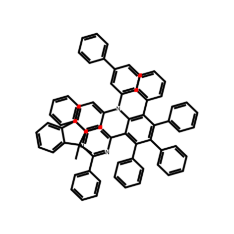 CC1(C)c2ccccc2-c2ccc(N(c3cccc(-c4ccccc4)c3)c3c(-c4ccccc4)c(-c4ccccc4)c(-c4ccccc4)c(-c4ccccc4)c3-c3nc(-c4ccccc4)nc(-c4ccccc4)n3)cc21